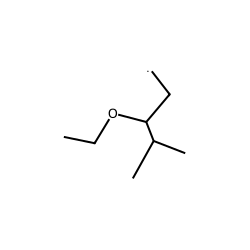 [CH2]CC(OCC)C(C)C